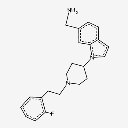 NCc1ccc2ccn(C3CCN(CCc4ccccc4F)CC3)c2c1